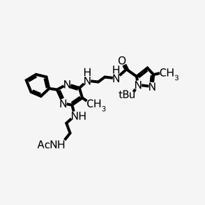 CC(=O)NCCNc1nc(-c2ccccc2)nc(NCCNC(=O)c2cc(C)nn2C(C)(C)C)c1C